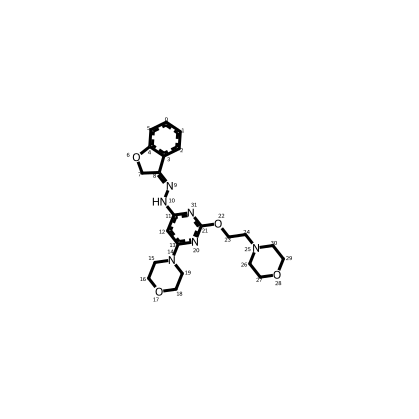 c1ccc2c(c1)OCC2=NNc1cc(N2CCOCC2)nc(OCCN2CCOCC2)n1